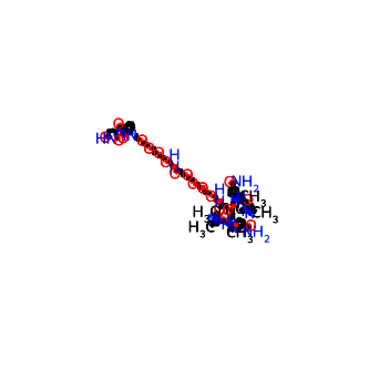 CCn1nc(C)cc1C(=O)N=c1n(C)c2cc(C(N)=O)ccc2n1CCC(CCn1c(=NC(=O)c2cc(C)nn2CC)n(C)c2cc(C(N)=O)ccc21)OCC(=O)NCCOCCOCCOCCOCCC(=O)NCCOCCOCCOCCOCCNc1cccc2c1C(=O)N(C1CCC(=O)NC1=O)C2=O